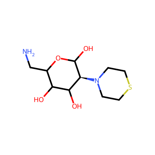 NCC1OC(O)[C@@H](N2CCSCC2)C(O)C1O